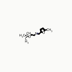 Cc1ccc(/C=N/CCO[Si](C)(C)C)o1